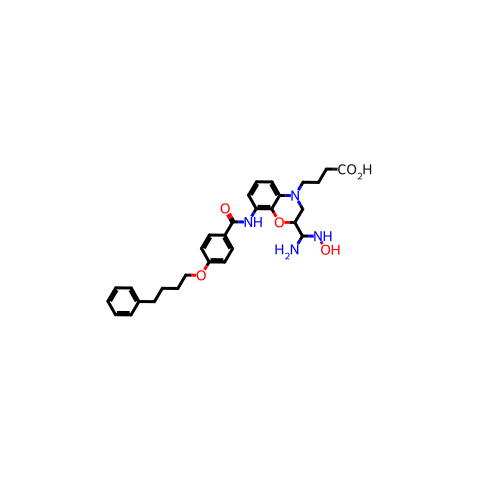 NC(NO)C1CN(CCCC(=O)O)c2cccc(NC(=O)c3ccc(OCCCCc4ccccc4)cc3)c2O1